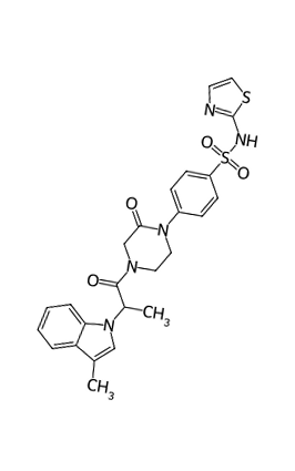 Cc1cn(C(C)C(=O)N2CCN(c3ccc(S(=O)(=O)Nc4nccs4)cc3)C(=O)C2)c2ccccc12